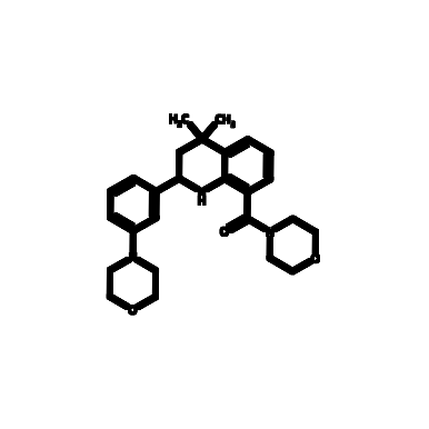 CC1(C)CC(c2cccc(N3CCOCC3)c2)Nc2c(C(=O)N3CCOCC3)cccc21